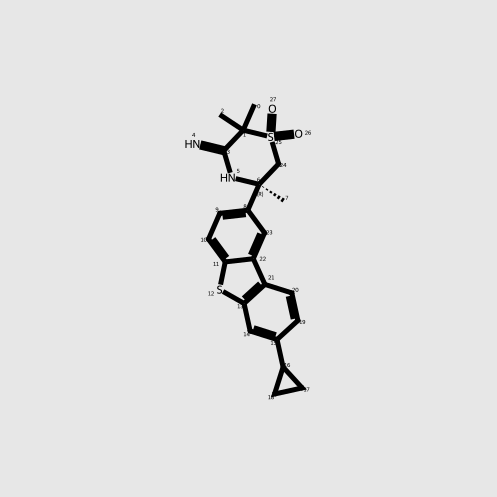 CC1(C)C(=N)N[C@](C)(c2ccc3sc4cc(C5CC5)ccc4c3c2)CS1(=O)=O